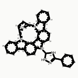 c1ccc(C2=NNC(n3c4ccc5c6ccccc6n6c7ccc(o7)n7c8ccccc8c8ccc3c(c4c56)c87)N2)cc1